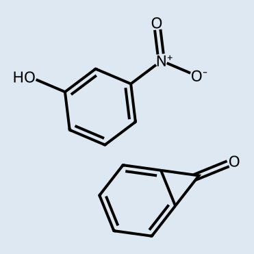 O=[N+]([O-])c1cccc(O)c1.O=c1c2ccccc12